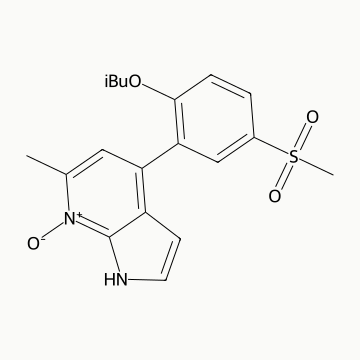 Cc1cc(-c2cc(S(C)(=O)=O)ccc2OCC(C)C)c2cc[nH]c2[n+]1[O-]